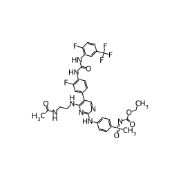 CCOC(=O)N=S(C)(=O)c1ccc(Nc2ncc(-c3ccc(NC(=O)Nc4cc(C(F)(F)F)ccc4F)c(F)c3)c(NCCNC(C)=O)n2)cc1